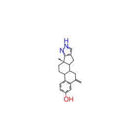 C=C1CC2C(CC[C@]3(C)c4n[nH]cc4CC23)c2ccc(O)cc21